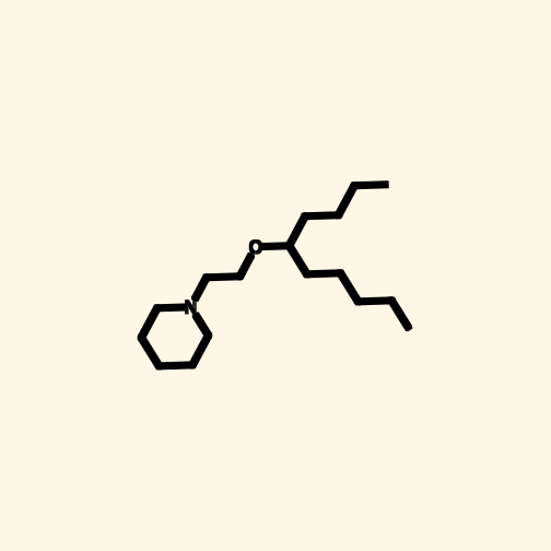 CCCCCC(CCCC)OCCN1CCCCC1